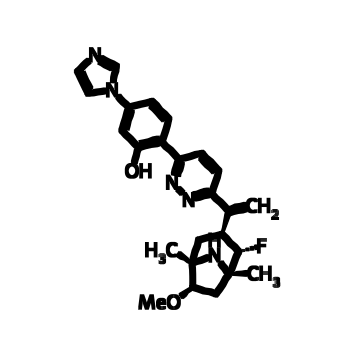 C=C(c1ccc(-c2ccc(-n3ccnc3)cc2O)nn1)[C@@H]1C[C@]2(C)N[C@@](C)(C[C@H]2OC)[C@H]1F